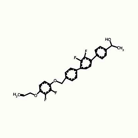 C=CCOc1ccc(OCc2ccc(-c3ccc(-c4ccc(C(C)O)cc4)c(F)c3F)cc2)c(F)c1F